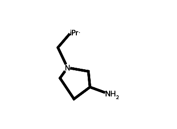 C[C](C)CN1CCC(N)C1